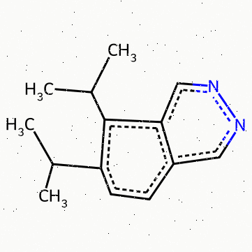 CC(C)c1ccc2cnncc2c1C(C)C